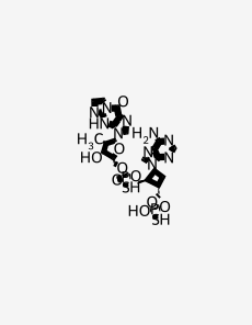 C[C@@H]1[C@H](O)[C@@H](COP(=O)(S)OC[C@@H]2[C@@H](COP(=O)(O)S)C[C@H]2n2cnc3c(N)ncnc32)O[C@H]1n1cnc2c(=O)n3ccnc3[nH]c21